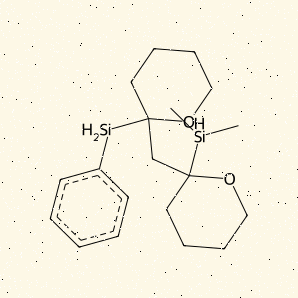 C[SiH](C)C1(CC2([SiH2]c3ccccc3)CCCCO2)CCCCO1